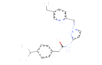 CCc1ccc(Cn2ccc(NC(=O)Cc3ccc(C(C)C)cc3)n2)nc1